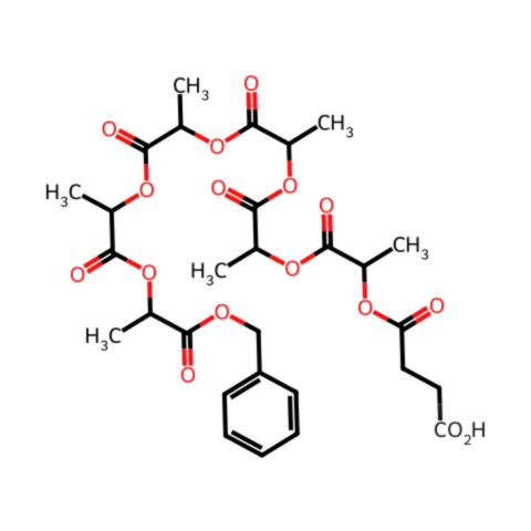 CC(OC(=O)CCC(=O)O)C(=O)OC(C)C(=O)OC(C)C(=O)OC(C)C(=O)OC(C)C(=O)OC(C)C(=O)OCc1ccccc1